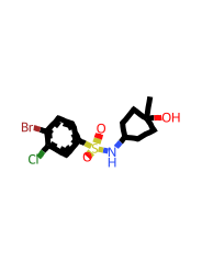 CC1(O)CCC(NS(=O)(=O)c2ccc(Br)c(Cl)c2)CC1